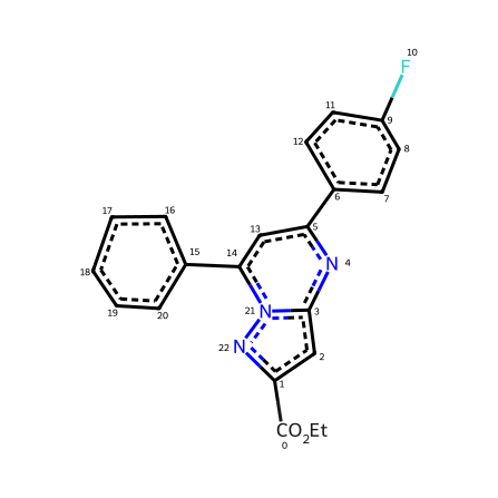 CCOC(=O)c1cc2nc(-c3ccc(F)cc3)cc(-c3ccccc3)n2n1